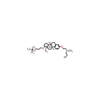 C[C](C)CCN(C)CCOc1ccc2c(c1)CC[C@@H]1[C@@H]2CC[C@]2(C)[C@@H](OCCCOC(C(F)(F)F)(C(F)(F)F)C(F)(F)F)CC[C@@H]12